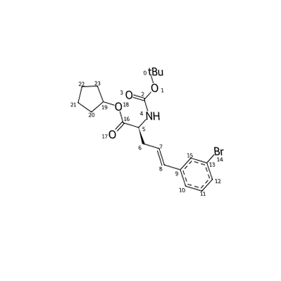 CC(C)(C)OC(=O)N[C@@H](CC=Cc1cccc(Br)c1)C(=O)OC1CCCC1